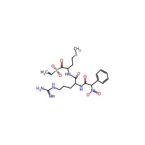 C=CS(=O)(=O)C(=O)C(CCSC)NC(=O)C(CCCNC(=N)N)NC(=O)C(c1ccccc1)[N+](=O)[O-]